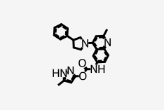 Cc1cc(N2CCC(c3ccccc3)C2)c2cc(NC(=O)Oc3cc(C)[nH]n3)ccc2n1